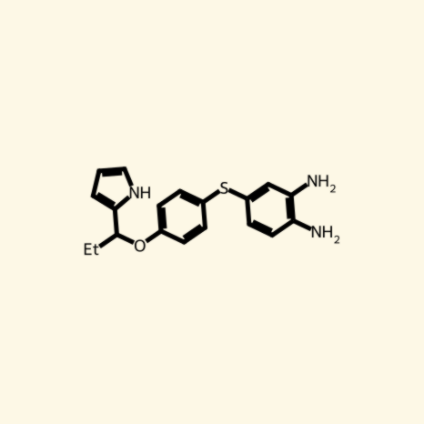 CCC(Oc1ccc(Sc2ccc(N)c(N)c2)cc1)c1ccc[nH]1